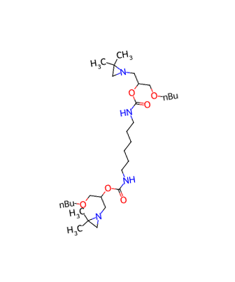 CCCCOCC(CN1CC1(C)C)OC(=O)NCCCCCCNC(=O)OC(COCCCC)CN1CC1(C)C